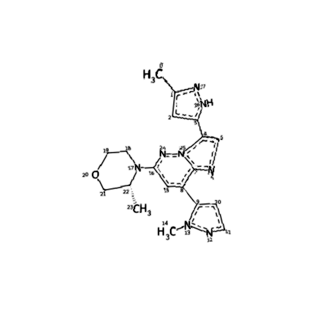 Cc1cc(-c2cnc3c(-c4ccnn4C)cc(N4CCOC[C@H]4C)nn23)[nH]n1